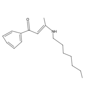 CCCCCCCN/C(C)=C/C(=O)c1ccccc1